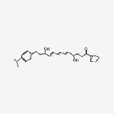 CN(C)c1ccc(CCC(O)/C=C/C=C/C=C/C(O)CCC(=O)N2CCCC2)cc1